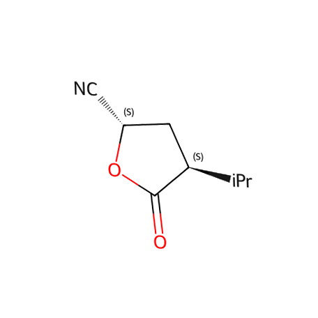 CC(C)[C@@H]1C[C@@H](C#N)OC1=O